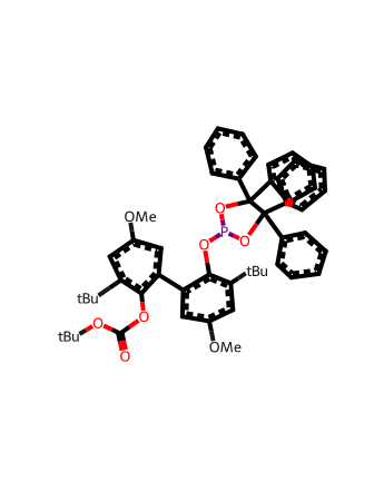 COc1cc(-c2cc(OC)cc(C(C)(C)C)c2OP2OC(c3ccccc3)(c3ccccc3)C(c3ccccc3)(c3ccccc3)O2)c(OC(=O)OC(C)(C)C)c(C(C)(C)C)c1